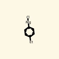 CCc1cc[c]([Mg][Cl])cc1